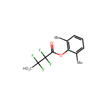 CC(C)(C)c1cccc(C(C)(C)C)c1OC(=O)C(F)(F)C(F)(F)C(=O)O